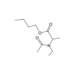 CCCCOC(=O)C(C)N(CC)C(C)=O